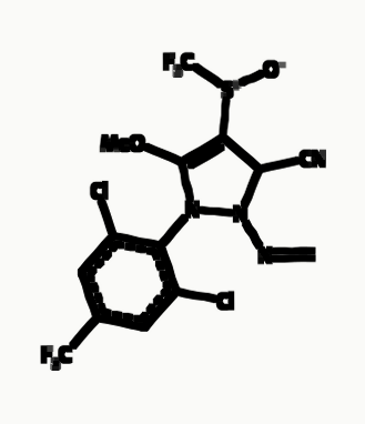 C=NN1C(C#N)C([S+]([O-])C(F)(F)F)=C(OC)N1c1c(Cl)cc(C(F)(F)F)cc1Cl